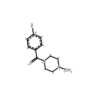 CN1CCN(C(=S)c2ccc(F)cc2)CC1